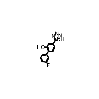 Oc1cc(-c2nnn[nH]2)ccc1-c1cccc(F)c1